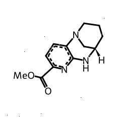 COC(=O)c1ccc2c(n1)N[C@H]1CCCN2C1